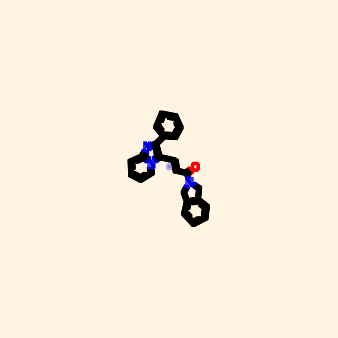 O=C(/C=C/c1c(-c2ccccc2)nc2ccccn12)N1Cc2ccccc2C1